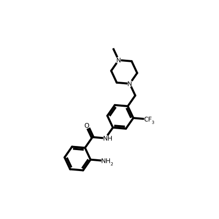 CN1CCN(Cc2ccc(NC(=O)c3ccccc3N)cc2C(F)(F)F)CC1